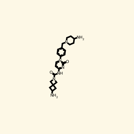 NC1CCN(Cc2ccc(-n3ccc(NC(=O)N4CC5(CC(N)C5)C4)nc3=O)cc2)CC1